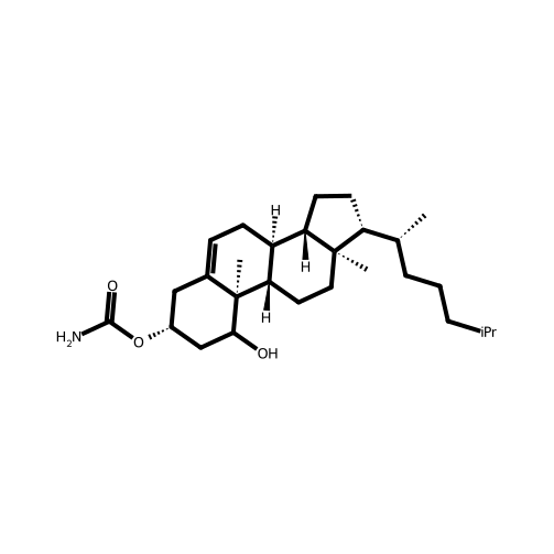 CC(C)CCC[C@@H](C)[C@H]1CC[C@H]2[C@@H]3CC=C4C[C@@H](OC(N)=O)CC(O)[C@]4(C)[C@H]3CC[C@]12C